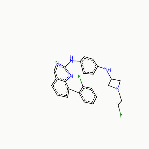 FCCN1CC(Nc2ccc(Nc3ncc4cccc(-c5ccccc5F)c4n3)cc2)C1